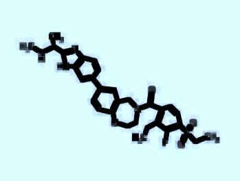 CCc1c(C(=O)N2CCOc3ccc(-c4ccc5nc([C@H](C)NC)[nH]c5c4)cc3C2)ccc(S(=O)(=O)CC)c1F